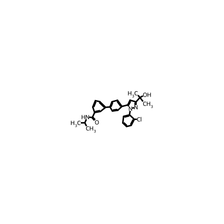 CC(C)NC(=O)c1cccc(-c2ccc(-c3cc(C(C)(C)O)nn3-c3ccccc3Cl)cc2)c1